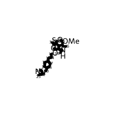 COC(=O)C1=C(C)NC(C)=C(C(=O)OC/C=C/c2ccc(Cn3ccnc3)cc2)C1c1ccsc1